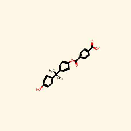 CC(C)(c1ccc(O)cc1)c1ccc(OC(=O)c2ccc(C(=O)O)cc2)cc1